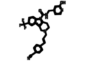 N#Cc1ccc(C=CCN2CCc3c(c4cc(C(F)(F)F)ccc4n3C(=O)NCc3ccnc(O)c3)C2)cc1